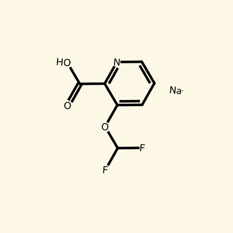 O=C(O)c1ncccc1OC(F)F.[Na]